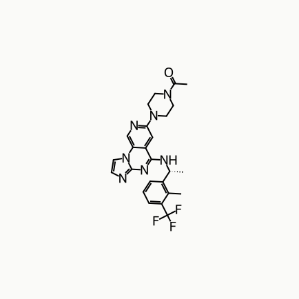 CC(=O)N1CCN(c2cc3c(N[C@H](C)c4cccc(C(F)(F)F)c4C)nc4nccn4c3cn2)CC1